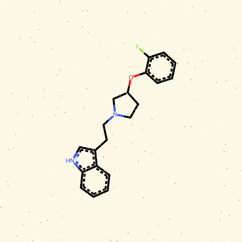 Fc1ccccc1OC1CCN(CCc2c[nH]c3ccccc23)C1